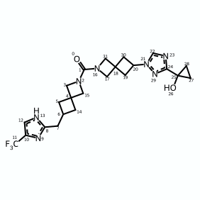 O=C(N1CC2(CC(Cc3nc(C(F)(F)F)c[nH]3)C2)C1)N1CC2(CC(n3cnc(C4(O)CC4)n3)C2)C1